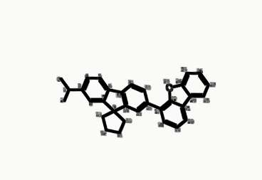 CC(C)c1ccc2c(c1)C1(CCCC1)c1cc(-c3cccc4c3oc3ccccc34)ccc1-2